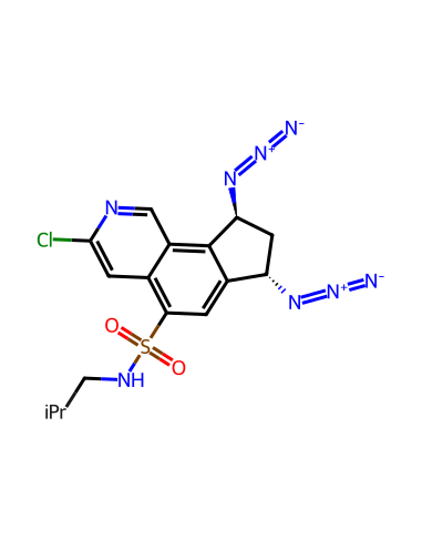 CC(C)CNS(=O)(=O)c1cc2c(c3cnc(Cl)cc13)[C@@H](N=[N+]=[N-])C[C@@H]2N=[N+]=[N-]